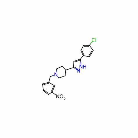 O=[N+]([O-])c1cccc(CN2CCC(c3cc(-c4ccc(Cl)cc4)[nH]n3)CC2)c1